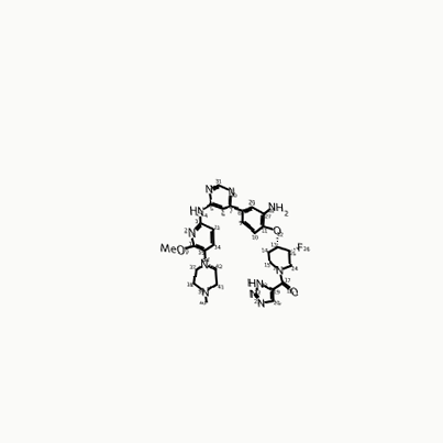 COc1nc(Nc2cc(-c3ccc(O[C@H]4CCN(C(=O)c5cnn[nH]5)C[C@H]4F)c(N)c3)ncn2)ccc1N1CCN(C)CC1